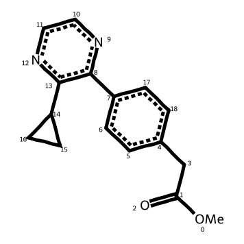 COC(=O)Cc1ccc(-c2nccnc2C2CC2)cc1